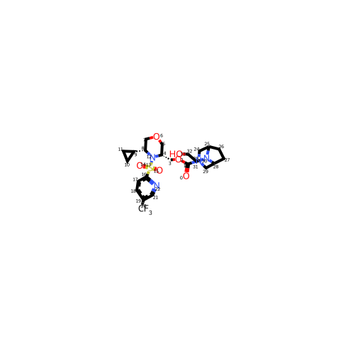 O=C(OC[C@H]1COC[C@@H](C2CC2)N1S(=O)(=O)c1ccc(C(F)(F)F)cn1)N1CC2CCC(C1)N2CCO